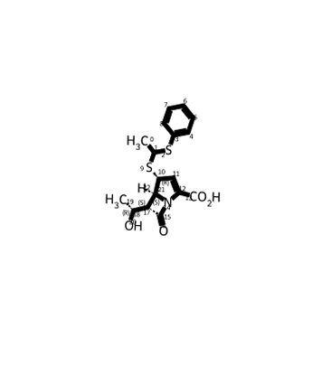 CC(Sc1ccccc1)S[C@@H]1C=C(C(=O)O)N2C(=O)[C@H]([C@@H](C)O)[C@@H]12